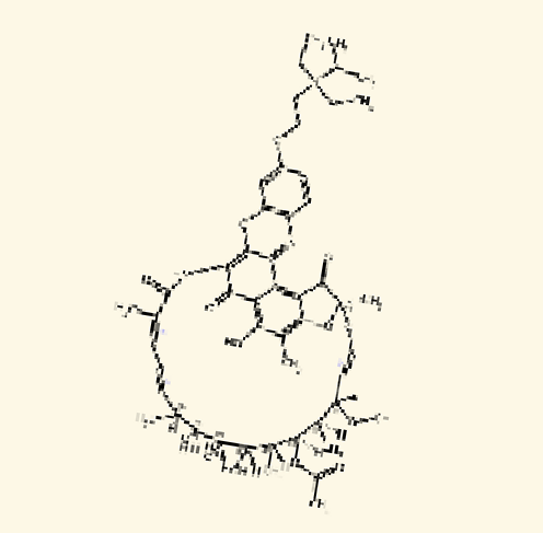 CC[N+](CC)(CCOc1ccc2nc3c4c5c6c(C)c(O)c4c(=O)c(c-3oc2c1)NC(=O)/C(C)=C\C=C\[C@H](C)[C@H](O)[C@@H](C)[C@@H](O)[C@@H](C)[C@H](OC(C)=O)[C@H](C)[C@@H](OC)/C=C/O[C@@](C)(O6)C5=O)C(C)C